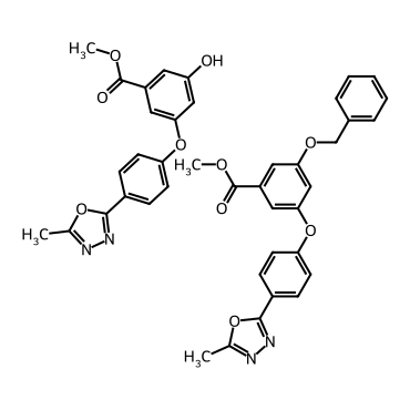 COC(=O)c1cc(O)cc(Oc2ccc(-c3nnc(C)o3)cc2)c1.COC(=O)c1cc(OCc2ccccc2)cc(Oc2ccc(-c3nnc(C)o3)cc2)c1